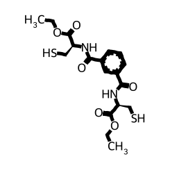 CCOC(=O)[C@H](CS)NC(=O)c1cccc(C(=O)N[C@@H](CS)C(=O)OCC)c1